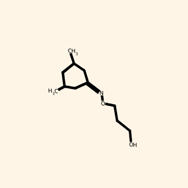 CC1CC(=NOCCCO)CC(C)C1